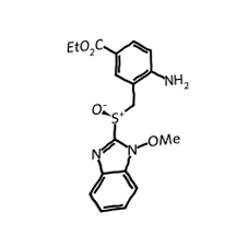 CCOC(=O)c1ccc(N)c(C[S@+]([O-])c2nc3ccccc3n2OC)c1